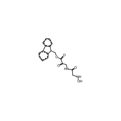 O=C(CNO)NCC(=O)C(=O)OCC1c2ccccc2-c2ccccc21